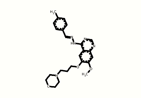 COc1cc2ncnc(NN=Cc3ccc(C)cc3)c2cc1OCCCN1CCOCC1